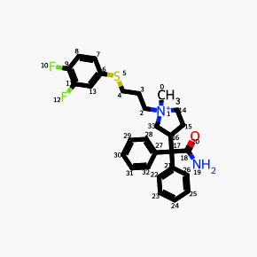 C[N+]1(CCCSc2ccc(F)c(F)c2)CCC(C(C(N)=O)(c2ccccc2)c2ccccc2)C1